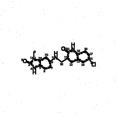 Cn1c(=O)[nH]c2ccc(NCc3cc4cc(Cl)ccc4[nH]c3=O)cc21